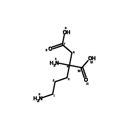 NCCCC(N)(CC(=O)O)C(=O)O